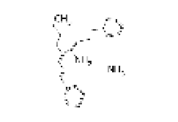 CCCCC(=CC=Cc1ccccc1)C(N)=CC=Cc1ccccc1.N